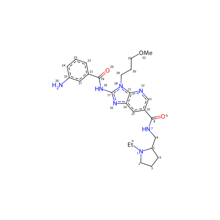 CCN1CCCC1CNC(=O)c1cnc2c(c1)nc(NC(=O)c1cccc(N)c1)n2CCCOC